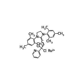 Cc1cc(C)c(N2CCN(c3c(C)cc(C)cc3C)C2=C=CC(Cl)(Cl)c2ccccn2)c(C)c1.[Ru+2]